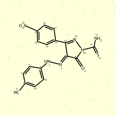 N#Cc1ccc(N/N=C2/C(=O)N(C(N)=S)N=C2c2ccc([N+](=O)[O-])cc2)cc1